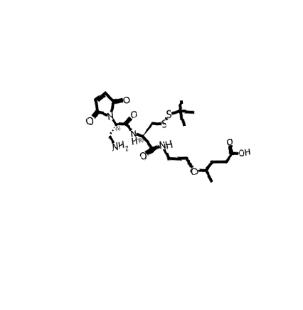 CC(CCC(=O)O)OCCNC(=O)[C@H](CSSC(C)(C)C)NC(=O)[C@H](CN)N1C(=O)C=CC1=O